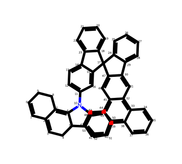 C1=CC2=CCC3C(=C2CC1)N(c1ccc2c(c1)C1(c4ccccc4-2)c2ccccc2-c2cc4c5ccccc5c5ccccc5c4cc21)c1ccccc13